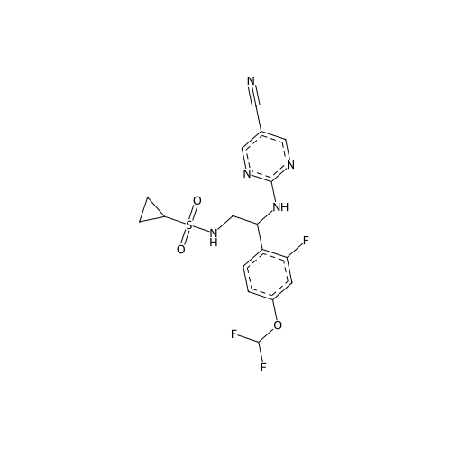 N#Cc1cnc(NC(CNS(=O)(=O)C2CC2)c2ccc(OC(F)F)cc2F)nc1